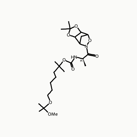 COC(C)(C)OCCCCCC(C)(C)OC(=O)N[C@H](C)C(=O)N1OC2CC1C1OC(C)(C)OC21